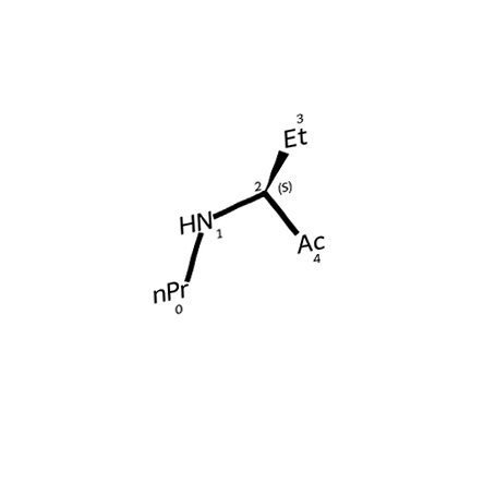 CCCN[C@@H](CC)C(C)=O